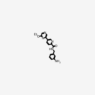 CCOc1cncc(-c2ccc(C(=O)NCc3cccc(N)c3)nc2)n1